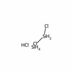 Cl.Cl[SiH2]Cl.[SiH4]